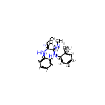 C/C=C(Nc1ccccc1)\C(=N/C)Nc1ccccc1C(C)(C)C